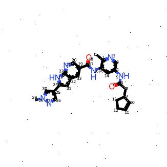 Cc1ncc(NC(=O)CC2C=CCC2)cc1NC(=O)c1cnc2[nH]c(-c3cnn(C)c3)cc2c1